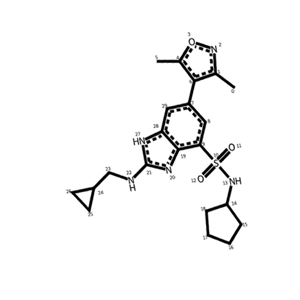 Cc1noc(C)c1-c1cc(S(=O)(=O)NC2CCCC2)c2nc(NCC3CC3)[nH]c2c1